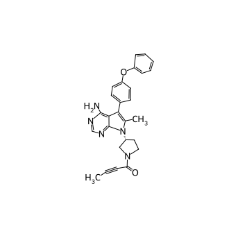 CC#CC(=O)N1CC[C@@H](n2c(C)c(-c3ccc(Oc4ccccc4)cc3)c3c(N)ncnc32)C1